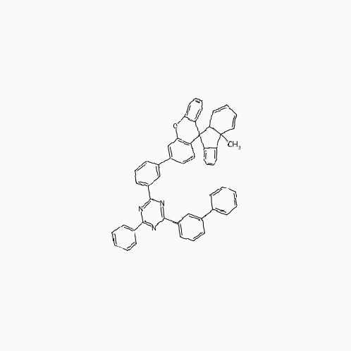 CC12C=CC=CC1C1(c3ccccc3Oc3cc(-c4cccc(-c5nc(-c6ccccc6)nc(-c6cccc(-c7ccccc7)c6)n5)c4)ccc31)c1ccccc12